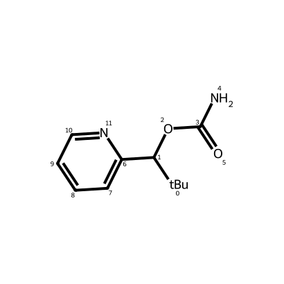 CC(C)(C)C(OC(N)=O)c1ccccn1